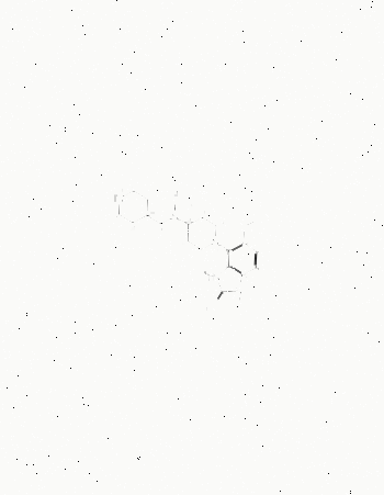 COc1ccc2[nH]c(=O)n(C)c2c1N1CCC(N(C)CC2CCNCC2)CC1